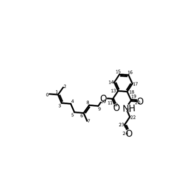 CC(C)=CCC/C(C)=C/COC(=O)c1ccccc1C(=O)NC[C]=O